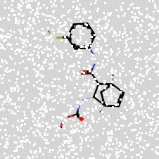 CC(C)(C)OC(=O)N[C@H]1C(C(=O)Nc2cccc(SC(F)(F)F)c2)[C@@H]2C=C[C@H]1C2